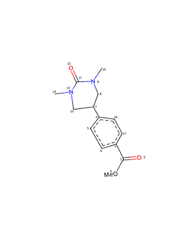 COC(=O)c1ccc(C2CN(C)C(=O)N(C)C2)cc1